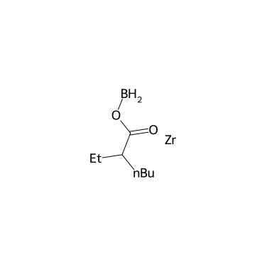 BOC(=O)C(CC)CCCC.[Zr]